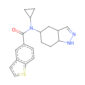 O=C(c1ccc2sccc2c1)N(C1CC1)C1CCC2NN=CC2C1